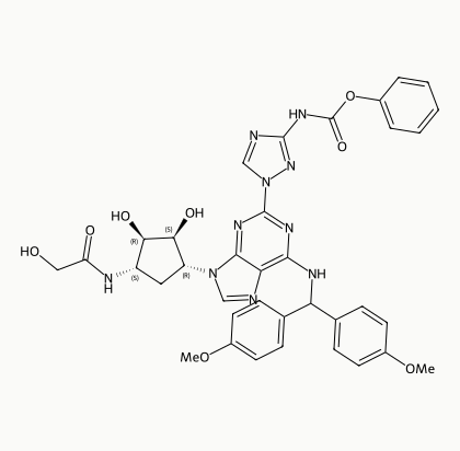 COc1ccc(C(Nc2nc(-n3cnc(NC(=O)Oc4ccccc4)n3)nc3c2ncn3[C@@H]2C[C@H](NC(=O)CO)[C@@H](O)[C@H]2O)c2ccc(OC)cc2)cc1